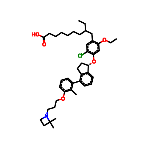 CCOc1cc(O[C@H]2CCc3c(-c4cccc(OCCCN5CCC5(C)C)c4C)cccc32)c(Cl)cc1CC(CC)CCCCCCC(=O)O